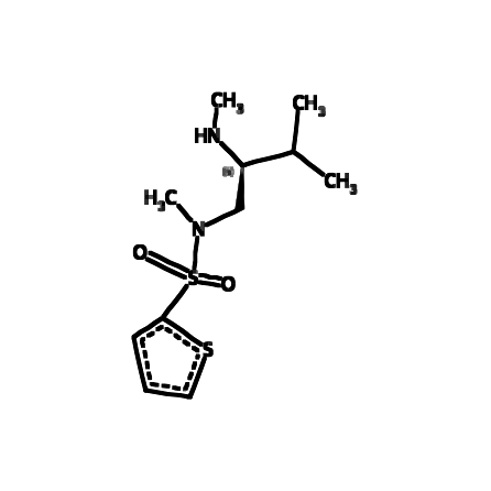 CN[C@H](CN(C)S(=O)(=O)c1cccs1)C(C)C